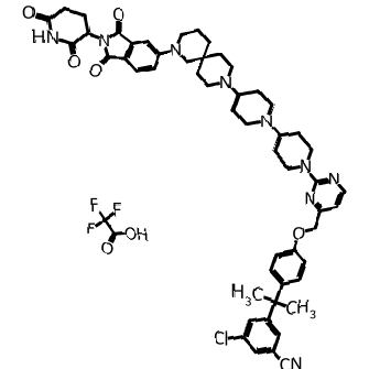 CC(C)(c1ccc(OCc2ccnc(N3CCC(N4CCC(N5CCC6(CCCN(c7ccc8c(c7)C(=O)N(C7CCC(=O)NC7=O)C8=O)C6)CC5)CC4)CC3)n2)cc1)c1cc(Cl)cc(C#N)c1.O=C(O)C(F)(F)F